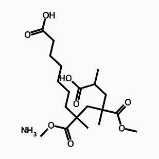 COC(=O)C(C)(CCCCCCC(=O)O)CC(C)(CC(C)C(=O)O)C(=O)OC.N